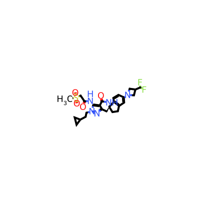 CS(=O)(=O)CC(=O)Nc1c2c(nn1CCC1CC1)C[C@@]1(CCc3cc(N4CC(C(F)F)C4)ccc31)NC2=O